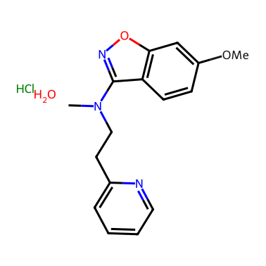 COc1ccc2c(N(C)CCc3ccccn3)noc2c1.Cl.O